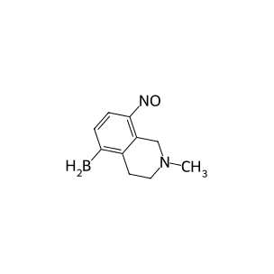 Bc1ccc(N=O)c2c1CCN(C)C2